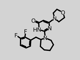 O=c1cc(N2CCOCC2)nc(N2CCCCCC2Cc2cccc(F)c2F)[nH]1